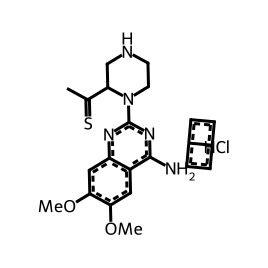 COc1cc2nc(N3CCNCC3C(C)=S)nc(N)c2cc1OC.Cl.c1cc2ccc1-2